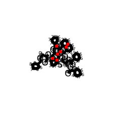 C[C@H]1OC(c2ccccc2)OCC1OC(O[C@H](C)C(COC(=O)c1ccccc1)OC(Sc1ccccc1)[C@H](COC(=O)c1ccccc1)OC(=O)c1ccccc1)[C@H](COC(=O)c1ccccc1)OC(=O)c1ccccc1